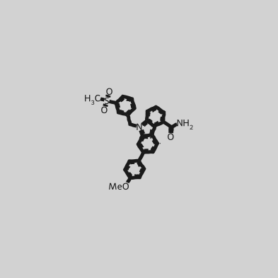 COc1ccc(-c2c[c]c3c4c(C(N)=O)cccc4n(Cc4cccc(S(C)(=O)=O)c4)c3c2)cc1